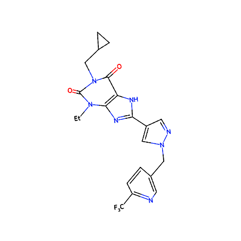 CCn1c(=O)n(CC2CC2)c(=O)c2[nH]c(-c3cnn(Cc4ccc(C(F)(F)F)nc4)c3)nc21